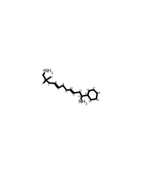 CC(C)(CN)CC=CCCC=CCC(N)C1CCCCC1